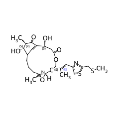 CSCc1nc(/C=C(\C)[C@@H]2C[C@@H]3O[C@]3(C)CCCC3C=C(C(=O)[C@H](C)[C@H]3O)[C@@H](O)CC(=O)O2)cs1